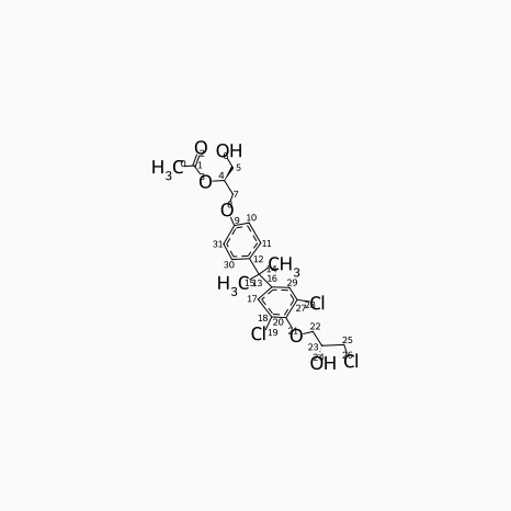 CC(=O)O[C@@H](CO)COc1ccc(C(C)(C)c2cc(Cl)c(OC[C@@H](O)CCl)c(Cl)c2)cc1